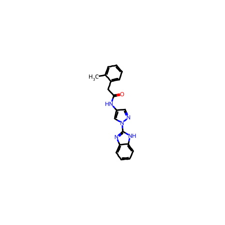 Cc1ccccc1CC(=O)Nc1cnn(-c2nc3ccccc3[nH]2)c1